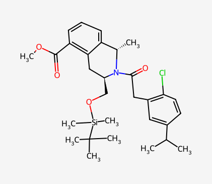 COC(=O)c1cccc2c1C[C@H](CO[Si](C)(C)C(C)(C)C)N(C(=O)Cc1cc(C(C)C)ccc1Cl)[C@H]2C